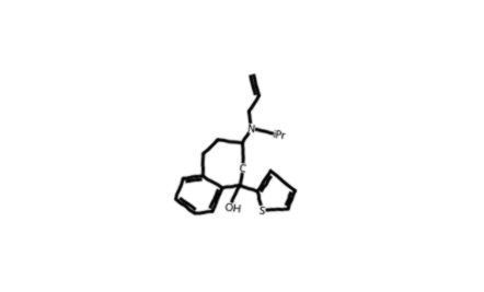 C=CCN(C(C)C)C1CCc2ccccc2C(O)(c2cccs2)C1